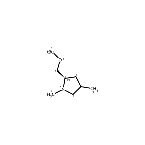 CC1C[C@H](COC(C)(C)C)N(C)C1